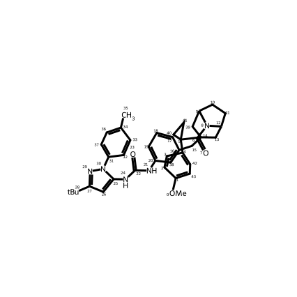 COc1ccc(C2(C(=O)N3C4CCC3CC(Cc3cccc(NC(=O)Nc5cc(C(C)(C)C)nn5-c5ccc(C)cc5)c3)C4)CC2)cc1